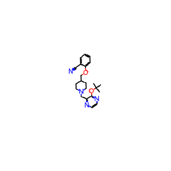 CC(C)(C)Oc1nccnc1CN1CCC(COc2ccccc2C#N)CC1